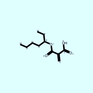 C=C(C(=O)O)C(=O)OC(CC)CCCC